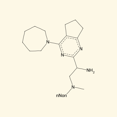 CCCCCCCCCN(C)CC(N)c1nc2c(c(N3CCCCCC3)n1)CCC2